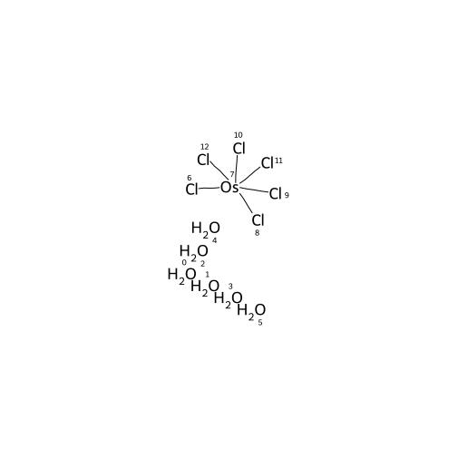 O.O.O.O.O.O.[Cl][Os]([Cl])([Cl])([Cl])([Cl])[Cl]